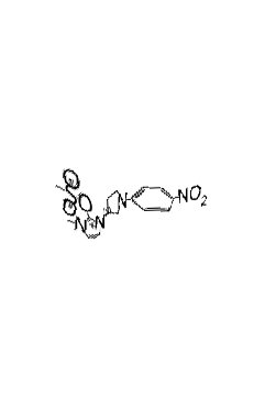 C[n+]1ccn([C@H]2CCN(c3ccc([N+](=O)[O-])cc3)C2)c1OS(C)(=O)=O